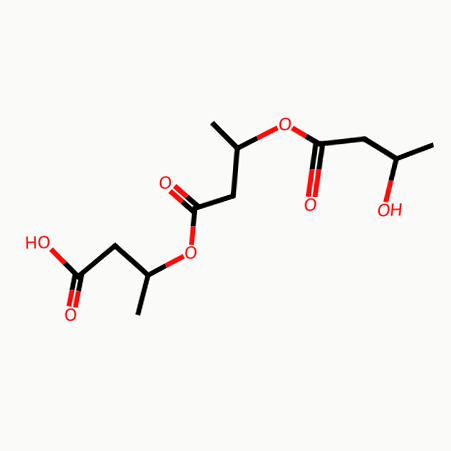 CC(O)CC(=O)OC(C)CC(=O)OC(C)CC(=O)O